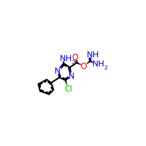 N=C(N)OC(=O)c1nc(Cl)c(-c2ccccc2)nc1N